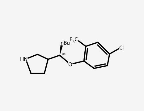 CCCC[C@@H](Oc1ccc(Cl)cc1C(F)(F)F)C1CCNC1